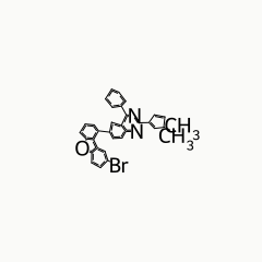 CC1(C)C=CC(c2nc(-c3ccccc3)c3cc(-c4cccc5oc6ccc(Br)cc6c45)ccc3n2)=C1